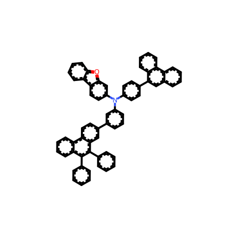 c1ccc(-c2c(-c3ccccc3)c3cc(-c4cccc(N(c5ccc(-c6cc7ccccc7c7ccccc67)cc5)c5ccc6c(c5)oc5ccccc56)c4)ccc3c3ccccc23)cc1